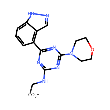 O=C(O)CNc1nc(-c2cccc3[nH]ncc23)nc(N2CCOCC2)n1